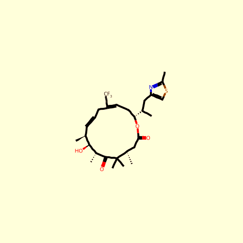 Cc1nc(CC(C)[C@H]2C/C=C(/C(F)(F)F)C/C=C/[C@H](C)[C@H](O)[C@@H](C)C(=O)C(C)(C)[C@@H](C)CC(=O)O2)cs1